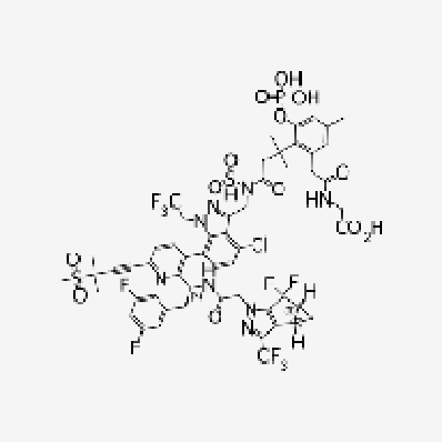 Cc1cc(CC(=O)NCC(=O)O)c(C(C)(C)CC(=O)N(Cc2nn(CC(F)(F)F)c3c(-c4ccc(C#CC(C)(C)S(C)(=O)=O)nc4[C@H](Cc4cc(F)cc(F)c4)NC(=O)Cn4nc(C(F)(F)F)c5c4C(F)(F)[C@@H]4C[C@H]54)ccc(Cl)c23)[SH](=O)=O)c(OP(=O)(O)O)c1